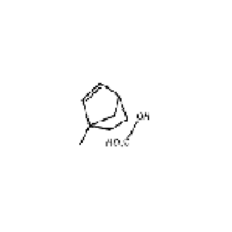 CC12C=CC(CC1)C2.O=C(O)O